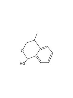 CC1COC(O)c2ccccc21